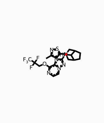 Cc1cc(N2CC3CCC(C2)C3Nc2nc3c(OCC(F)(F)C(F)(F)F)nccn3n2)sn1